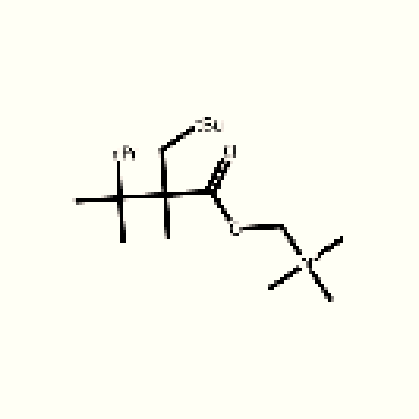 CCCC(C)(C)C(C)(CC(C)(C)C)C(=O)OC[N+](C)(C)C